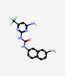 Cc1ccc2ccc(NC(=O)Nc3nc(N)cc(C(F)(F)F)n3)cc2c1